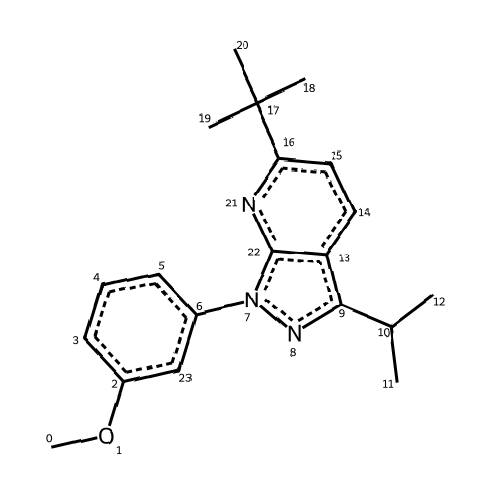 COc1cccc(-n2nc(C(C)C)c3ccc(C(C)(C)C)nc32)c1